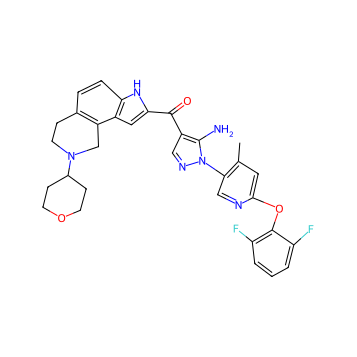 Cc1cc(Oc2c(F)cccc2F)ncc1-n1ncc(C(=O)c2cc3c4c(ccc3[nH]2)CCN(C2CCOCC2)C4)c1N